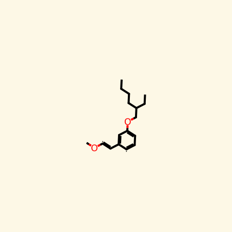 CCCCC(CC)COc1cc[c]c(C=[C]OC)c1